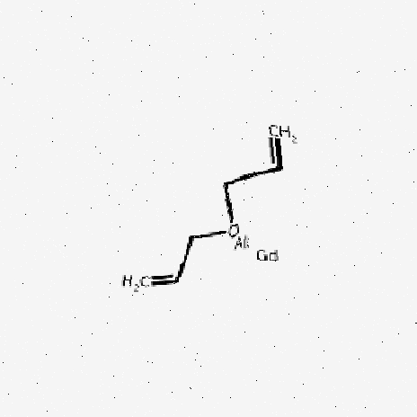 C=CCOCC=C.[Al].[Gd]